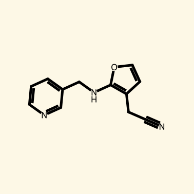 N#CCc1ccoc1NCc1cccnc1